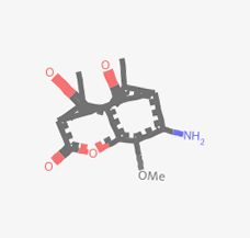 COc1c(N)c2c(C)c3c(C)c(c(=O)oc13)C(=O)C2=O